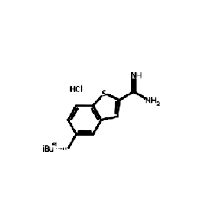 CC[C@@H](C)Cc1ccc2sc(C(=N)N)cc2c1.Cl